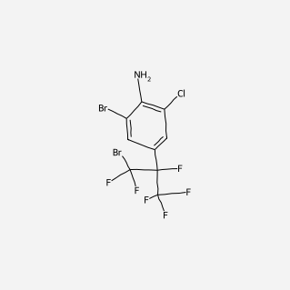 Nc1c(Cl)cc(C(F)(C(F)(F)F)C(F)(F)Br)cc1Br